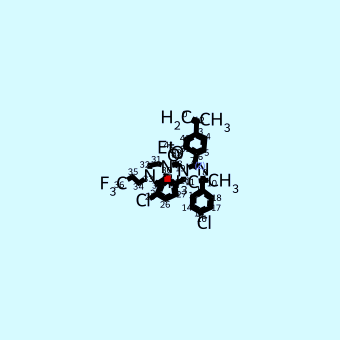 C=C(C)c1ccc(/C(=N/C(C)(C)c2ccc(Cl)cc2)N(Cc2ccc(Cl)cc2)C(=O)N2CCN(CCC(F)(F)F)CC2)c(OCC)c1